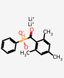 Cc1cc(C)c(C(=O)[PH]([O-])([O-])c2ccccc2)c(C)c1.[Li+].[Li+]